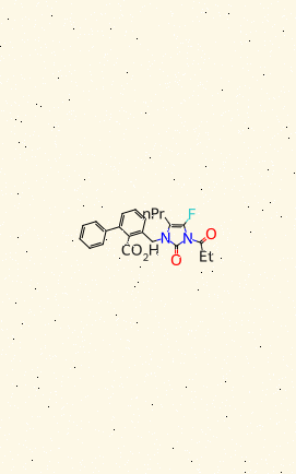 CCCc1c(F)n(C(=O)CC)c(=O)n1Cc1cccc(-c2ccccc2)c1C(=O)O